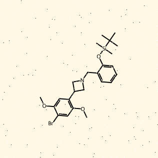 COc1cc(C2CN(Cc3ccccc3O[Si](C)(C)C(C)(C)C)C2)c(OC)cc1Br